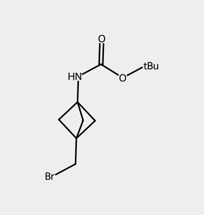 CC(C)(C)OC(=O)NC12CC(CBr)(C1)C2